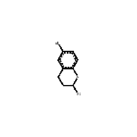 CCc1ccc2c(c1)CCC(CC)N2